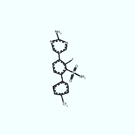 Nc1ncc(-c2ccc(-c3ccc(C(F)(F)F)cc3)c(S(N)(=O)=O)c2F)cn1